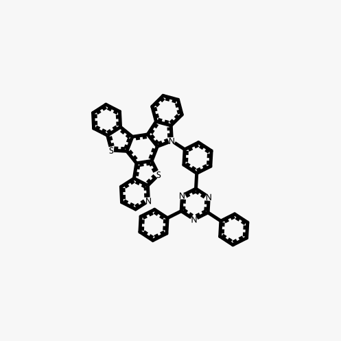 c1ccc(-c2nc(-c3ccccc3)nc(-c3cccc(-n4c5ccccc5c5c6c7ccccc7sc6c6c7cccnc7sc6c54)c3)n2)cc1